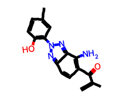 C=C(C)C(=O)c1ccc2nn(-c3cc(C)ccc3O)nc2c1N